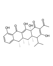 CC(=O)C1=C(O)C(C(C)C)[C@@]2(C)[C@H](C)[C@]3(C)C(=C(O)[C@@]2(O)C1=O)C(=O)c1c(O)cccc1[C@H]3C